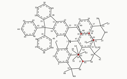 Cc1ccc2c(c1N(c1cc3c(cc1-c1ccc4c(c1)C(C)(C)CCC4(C)C)-c1ccccc1C3(c1ccccc1)c1ccccc1)c1c(C)ccc3c1C(C)(C)CCC3(C)C)C(C)(C)CCC2(C)C